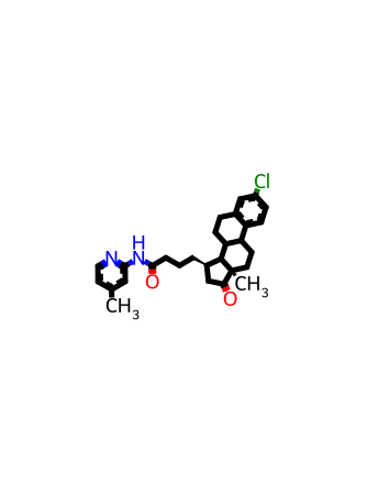 Cc1ccnc(NC(=O)CCC[C@@H]2CC(=O)[C@@]3(C)CCC4c5ccc(Cl)cc5CCC4C23)c1